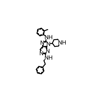 Cc1ccccc1Nc1nc2cnc(NCCc3ccccc3)nc2n1C1CCNCC1